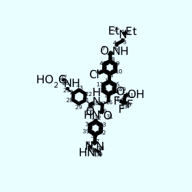 CCN(CC)CCNC(=O)c1ccc(-c2ccc(C[C@H](NC(=O)[C@H]3CC[C@H](CNC(=O)O)CC3)C(=O)Nc3ccc(-c4nn[nH]n4)cc3)cc2)c(Cl)c1.O=C(O)C(F)(F)F